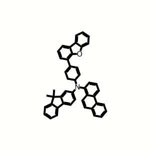 CC1(C)c2ccccc2-c2ccc(N(c3cccc4c3ccc3ccccc34)C3C=CC(c4cccc5c4oc4ccccc45)=CC3)cc21